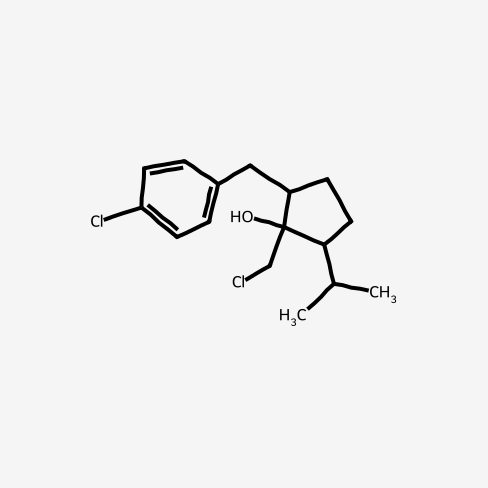 CC(C)C1CCC(Cc2ccc(Cl)cc2)C1(O)CCl